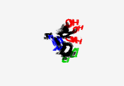 OCC1C[C@H](n2c(N3CCC3)nc3cc(Cl)c(Cl)cc32)C(O)C1O